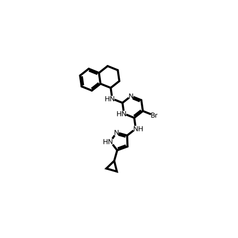 BrC1=C(Nc2cc(C3CC3)[nH]n2)NC(NC2CCCc3ccccc32)N=C1